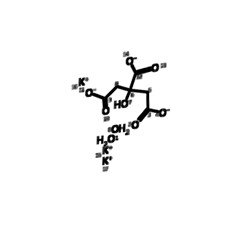 O.O.O=C([O-])CC(O)(CC(=O)[O-])C(=O)[O-].[K+].[K+].[K+]